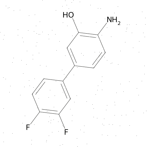 Nc1ccc(-c2ccc(F)c(F)c2)cc1O